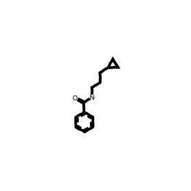 O=C([N]CCCC1CC1)c1ccccc1